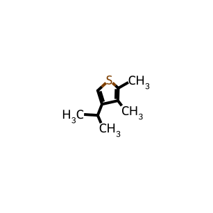 Cc1scc(C(C)C)c1C